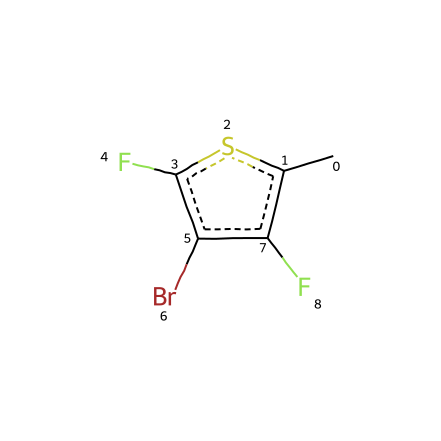 Cc1sc(F)c(Br)c1F